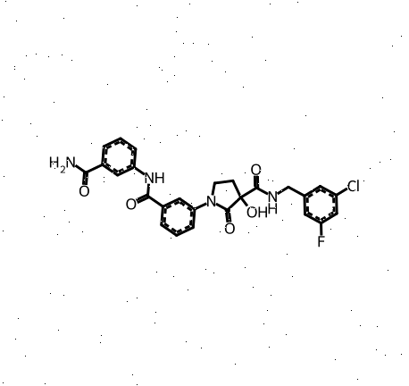 NC(=O)c1cccc(NC(=O)c2cccc(N3CCC(O)(C(=O)NCc4cc(F)cc(Cl)c4)C3=O)c2)c1